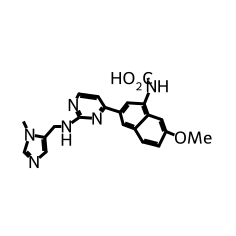 COc1ccc2cc(-c3ccnc(NCc4cncn4C)n3)cc(NC(=O)O)c2c1